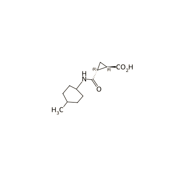 CC1CCC(NC(=O)[C@@H]2C[C@H]2C(=O)O)CC1